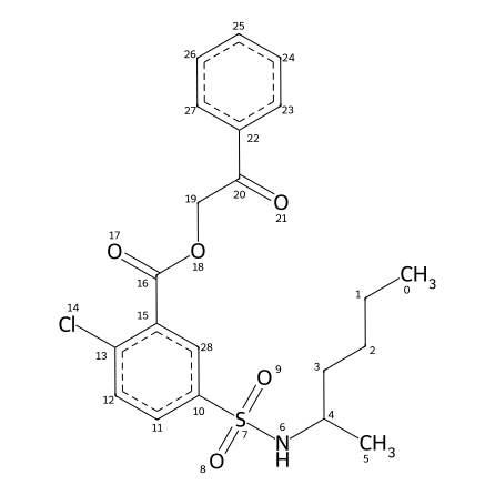 CCCCC(C)NS(=O)(=O)c1ccc(Cl)c(C(=O)OCC(=O)c2ccccc2)c1